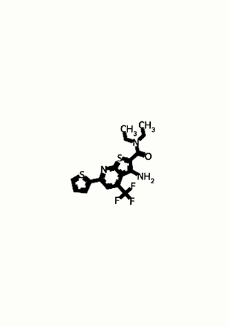 CCN(CC)C(=O)c1sc2nc(-c3cccs3)cc(C(F)(F)F)c2c1N